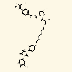 Cc1ncsc1-c1ccc([C@H](C)NC(=O)[C@@H]2C[C@@H](O)CN2C(=O)[C@@H](NC(=O)O)[C@@H](C)OCCCCCCOc2ccc(N3C(=S)N(c4ccc(C#N)c(C(F)(F)F)c4)C(=O)C3(C)C)cc2)cc1